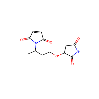 CC(CCOC1CC(=O)[N]C1=O)N1C(=O)C=CC1=O